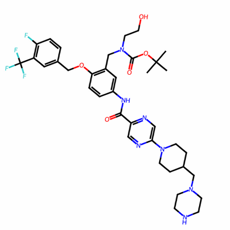 CC(C)(C)OC(=O)N(CCO)Cc1cc(NC(=O)c2cnc(N3CCC(CN4CCNCC4)CC3)cn2)ccc1OCc1ccc(F)c(C(F)(F)F)c1